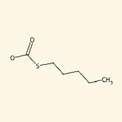 CCCCCSC([O])=O